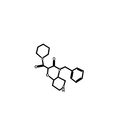 O=C(C1OC2CCNCC2N(Cc2ccccc2)C1=O)N1CCCCC1